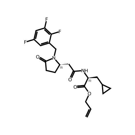 C=CCOC(=O)[C@H](CC1CC1)NC(=O)C[C@@H]1CCC(=O)N1Cc1cc(F)cc(F)c1F